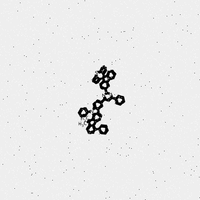 CC1(C)c2cccc(-c3ccccc3)c2-c2ccc3c4cc(-c5cc(-c6ccccc6)nc(-c6ccc7c(c6)-c6ccccc6C76c7ccccc7Sc7ccccc76)n5)ccc4n(-c4ccccc4)c3c21